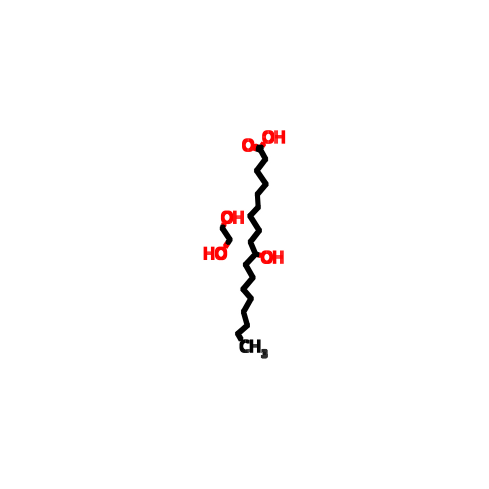 CCCCCCCCC(O)CCCCCCCCC(=O)O.OCCO